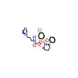 O=C(NCCCn1ccnc1)OC[C@H]1CCC[C@@H](c2ccccc2)N1S(=O)(=O)c1ccc(Cl)cc1